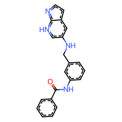 O=C(Nc1cccc(CNc2c[nH]c3nccc-3c2)c1)c1ccccc1